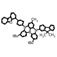 Cc1cc2c3c(c1)N(c1ccc(-c4cccc5c4oc4ccccc45)cc1)c1cc(C(C)(C)C)ccc1B3c1cc(C(C)(C)C)ccc1N2c1ccc2c(c1)C(C)(C)c1ccccc1-2